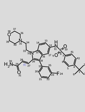 CC(C)(C)c1ccc(S(=O)(=O)Nc2ccc3c(c2)c(-c2cccc(F)c2)c(/C=C/C(N)=O)n3CCN2CCOCC2)cc1